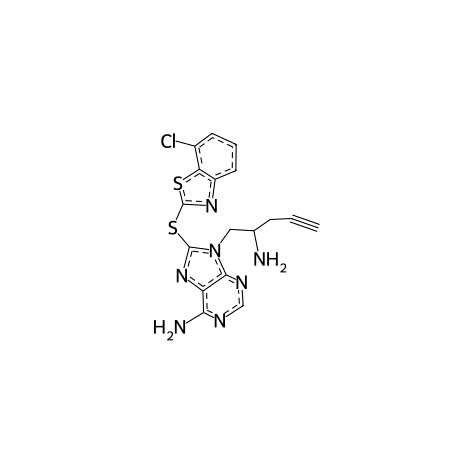 C#CCC(N)Cn1c(Sc2nc3cccc(Cl)c3s2)nc2c(N)ncnc21